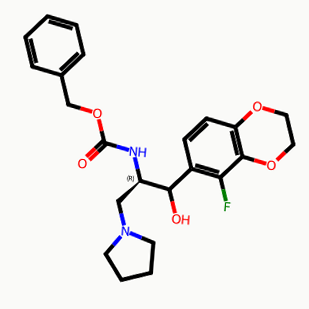 O=C(N[C@H](CN1CCCC1)C(O)c1ccc2c(c1F)OCCO2)OCc1ccccc1